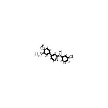 COc1ccc(-c2ccnc(Nc3cccc(Cl)c3)c2)cc1N